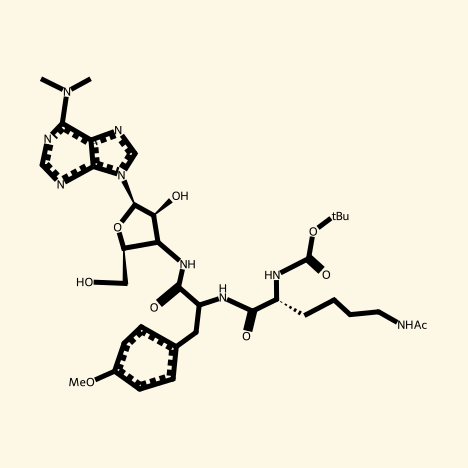 COc1ccc(CC(NC(=O)[C@@H](CCCCNC(C)=O)NC(=O)OC(C)(C)C)C(=O)NC2[C@@H](CO)O[C@@H](n3cnc4c(N(C)C)ncnc43)[C@H]2O)cc1